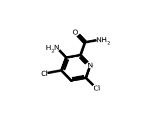 NC(=O)c1nc(Cl)cc(Cl)c1N